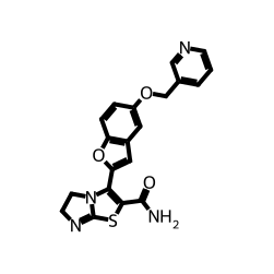 NC(=O)C1=C(c2cc3cc(OCc4cccnc4)ccc3o2)N2CCN=C2S1